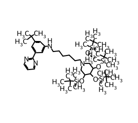 CC(C)(C)c1cc(NCCCCCCN2CC(O[Si](C)(C)C(C)(C)C)C(O[Si](C)(C)C(C)(C)C)C(O[Si](C)(C)C(C)(C)C)[C@H]2CO[Si](C)(C)C(C)(C)C)cc(-c2ncccn2)c1